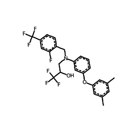 Cc1cc(C)cc(Oc2cccc(N(Cc3ccc(C(F)(F)F)cc3F)CC(O)C(F)(F)F)c2)c1